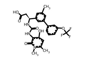 Cc1cc(-c2cccc(OC(F)(F)F)c2)cc([C@H](CC(=O)O)NC(=O)Nc2c(O)cc(C)n(C)c2=O)c1